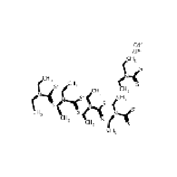 CCN(CC)C(=S)[S-].CCN(CC)C(=S)[S-].CCN(CC)C(=S)[S-].CCN(CC)C(=S)[S-].CCN(CC)C(=S)[S-].[Al+3].[Cd+2]